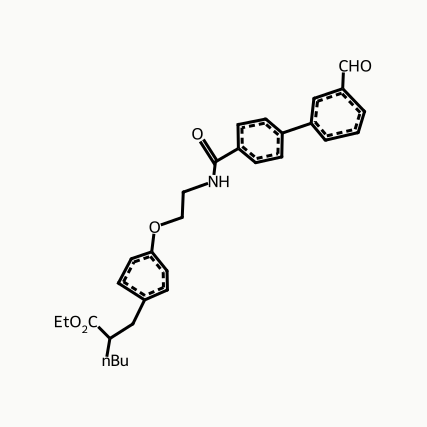 CCCCC(Cc1ccc(OCCNC(=O)c2ccc(-c3cccc(C=O)c3)cc2)cc1)C(=O)OCC